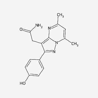 Cc1cc(C)n2nc(-c3ccc(O)cc3)c(CC(N)=O)c2n1